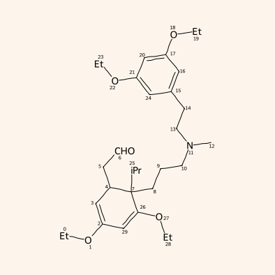 CCOC1=CC(CC=O)C(CCCN(C)CCc2cc(OCC)cc(OCC)c2)(C(C)C)C(OCC)=C1